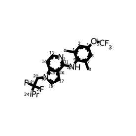 Cc1cc(OC(F)(F)F)cc(C)c1Nc1nccc2c1ccn2CC(F)(F)C(C)C